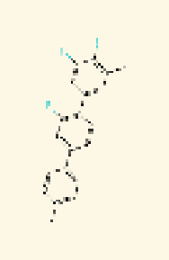 Cc1ccc(-c2ccc(-c3cc(C)c(F)c(F)c3)c(F)c2)cc1